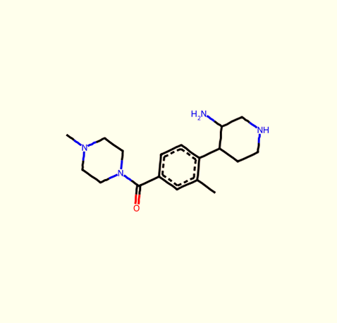 Cc1cc(C(=O)N2CCN(C)CC2)ccc1C1CCNCC1N